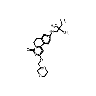 CCC(C)(C)CNc1ccc2c(c1)CCn1c-2cc(OC[C@@H]2COCCO2)nc1=O